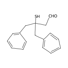 O=CCC(S)(Cc1ccccc1)Cc1ccccc1